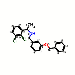 CC(NCc1cccc(OCc2ccccc2)c1)c1cccc(Cl)c1Cl